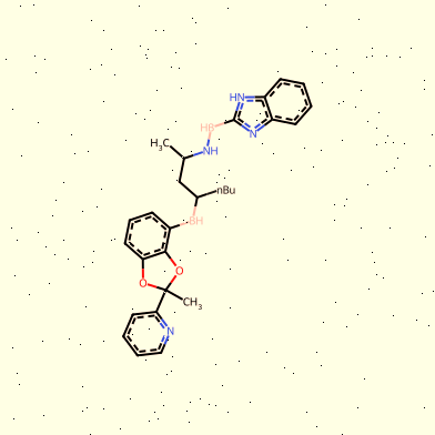 CCCCC(Bc1cccc2c1OC(C)(c1ccccn1)O2)CC(C)NBc1nc2ccccc2[nH]1